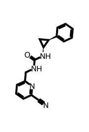 N#Cc1cccc(CNC(=O)N[C@@H]2C[C@H]2c2ccccc2)n1